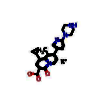 Cc1c(-c2ccc(N3CCNCC3)nc2)ccn2c(=O)c(C(=O)[O-])cc(C3CC3)c12.[K+]